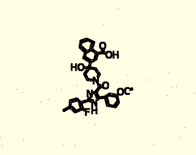 CCOc1cccc(-c2[nH]c(-c3ccc(C)cc3F)nc2C(=O)N2CCC(O)(c3cc(C(=O)O)c4ccccc4c3)CC2)c1